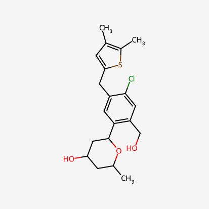 Cc1cc(Cc2cc(C3CC(O)CC(C)O3)c(CO)cc2Cl)sc1C